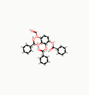 O=COc1ccc(OC(=O)c2ccccc2)c(OC(=O)c2ccccc2)c1OC(=O)c1ccccc1